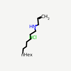 C=CCNCCCCCCCCCCCC.Cl